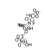 C[C@@H]1C(SCCOC(=O)NC2CCN(c3c(F)cc4c(=O)c(C(=O)[O-])cn(C5CC5)c4c3Cl)C2)=C(C(=O)[O-])N2C(=O)[C@@H]([C@@H](C)O)[C@H]12.[Na+].[Na+]